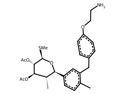 CS[C@H]1O[C@@H](c2ccc(C)c(Cc3ccc(OCCN)cc3)c2)[C@H](C)[C@@H](OC(C)=O)[C@@H]1OC(C)=O